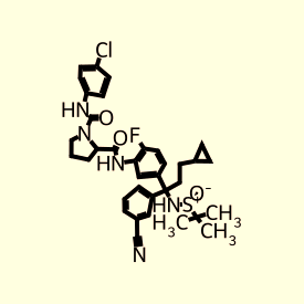 CC(C)(C)[S@@+]([O-])NC(CCC1CC1)(c1cccc(C#N)c1)c1ccc(F)c(NC(=O)C2CCCN2C(=O)Nc2ccc(Cl)cc2)c1